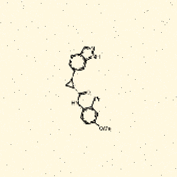 COc1ccc(NC(=O)[C@@H]2C[C@H]2c2ccc3cn[nH]c3c2)c(C(C)C)c1